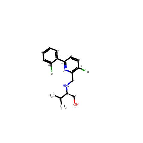 CC(C)[C@H](CO)NCc1nc(-c2ccccc2F)ccc1F